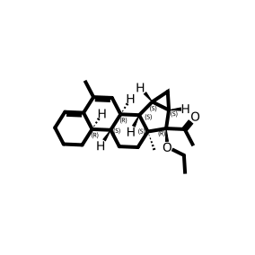 CCO[C@]1(C(C)=O)[C@H]2C[C@H]2[C@H]2[C@@H]3C=C(C)C4=CCCC[C@@H]4[C@H]3CC[C@@]21C